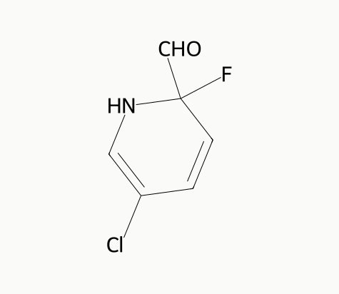 O=CC1(F)C=CC(Cl)=CN1